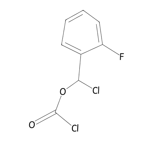 O=C(Cl)OC(Cl)c1ccccc1F